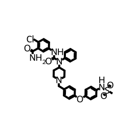 CS(=O)(=O)Nc1ccc(Oc2ccc(CN3CCC(N(C(=O)Nc4ccc(Cl)c(C(N)=O)c4)c4ccccc4)CC3)cc2)cc1